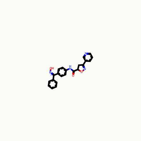 O=C(Nc1ccc(/C(=N\O)c2ccccc2)cc1)C1CC(c2cccnc2)=NO1